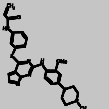 C=CC(=O)Nc1cccc(Sc2nc(Nc3ccc(N4CCN(C)CC4)cc3OC)nn3nccc23)c1